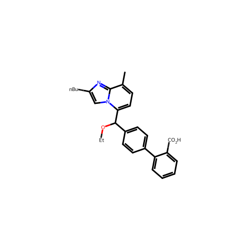 CCCCc1cn2c(C(OCC)c3ccc(-c4ccccc4C(=O)O)cc3)ccc(C)c2n1